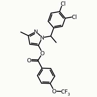 Cc1cc(OC(=O)c2ccc(OC(F)(F)F)cc2)n(C(C)c2ccc(Cl)c(Cl)c2)n1